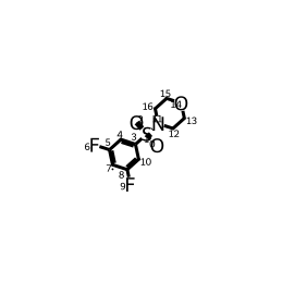 O=S(=O)(c1cc(F)[c]c(F)c1)N1CCOCC1